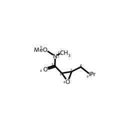 CON(C)C(=O)C1OC1CC(C)C